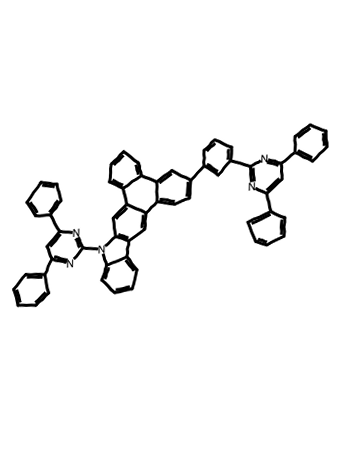 c1ccc(-c2cc(-c3ccccc3)nc(-c3cccc(-c4ccc5c(c4)c4ccccc4c4cc6c(cc54)c4ccccc4n6-c4nc(-c5ccccc5)cc(-c5ccccc5)n4)c3)n2)cc1